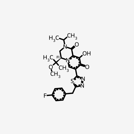 COC(C)(C)[C@H]1CN(C(C)C)C(=O)c2c(O)c(=O)c(-c3nnc(Cc4ccc(F)cc4)s3)cn21